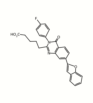 O=C(O)CCCCc1nc2cc(-c3cc4ccccc4o3)ccc2c(=O)n1-c1ccc(F)cc1